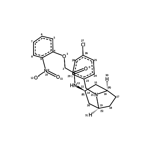 O=C(COc1ccccc1[N+](=O)[O-])N[C@H]1C[C@H]2CC[C@@H](C1)N2Cc1ccc(Cl)cc1